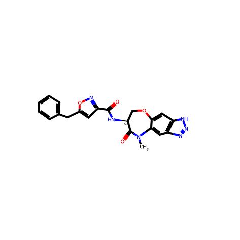 CN1C(=O)[C@@H](NC(=O)c2cc(Cc3ccccc3)on2)COc2cc3[nH]nnc3cc21